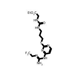 CCOC(=O)CNC(=O)NCCCSc1nccc(NC(N)=NCC(F)(F)F)n1